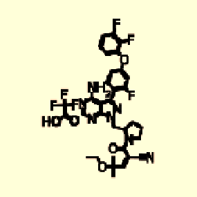 CCOC(C)(C)/C=C(/C#N)C(=O)N1CCC[C@@H]1Cn1nc(-c2ccc(Oc3cccc(F)c3F)cc2F)c2c(N)ncnc21.O=C(O)C(F)(F)F